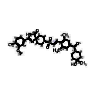 Cc1cc(C(=O)N2CCC(C)(O)CC2)cc(C)c1/C=C/S(=O)(=O)N1CCC2(CC1)N=C(c1ccc(Cl)c(OF)c1)NC2=O